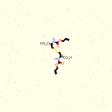 C=CCOC(=O)N[C@@H](CSSC[C@H](NC(=O)OCC=C)C(=O)O)C(=O)O